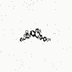 N#Cc1ccc(-c2cc3n(c2)Cc2cc(N4C[C@@H](CN5CCC5)OC4=O)ccc2-n2ccnc2-3)cc1